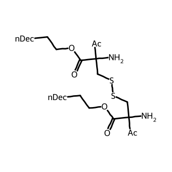 CCCCCCCCCCCCOC(=O)C(N)(CSSCC(N)(C(C)=O)C(=O)OCCCCCCCCCCCC)C(C)=O